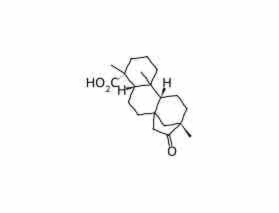 CC12CCC[C@@](C)(C(=O)O)[C@H]1CCC13CC(=O)[C@@](C)(CC[C@H]12)C3